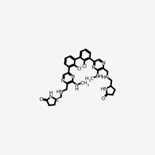 CNc1nc(-c2cccc(-c3cccc(-c4cnc(CNC[C@H]5CCC(=O)N5)c(NC)n4)c3Cl)c2Cl)cnc1CNCC1CCC(=O)N1